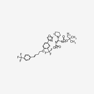 CC(C)(C)OC(=O)NC(=NC(=O)O)N1CCC[C@H]1c1nc(-c2ccc(OCCC=Cc3ccc(C(F)(F)F)cc3)c(C(F)(F)F)c2)co1